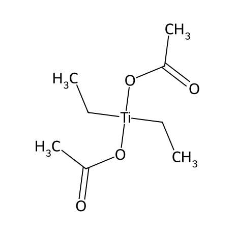 C[CH2][Ti]([CH2]C)([O]C(C)=O)[O]C(C)=O